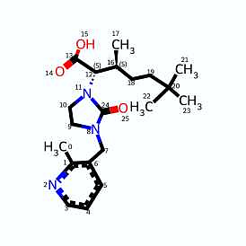 Cc1ncccc1CN1CCN([C@H](C(=O)O)[C@@H](C)CCC(C)(C)C)C1=O